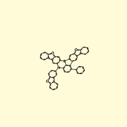 c1ccc(-c2ccc3c4c2-c2cc5c(cc2B4c2cc4oc6ccccc6c4cc2N3c2ccc3oc4ccccc4c3c2)oc2ccccc25)cc1